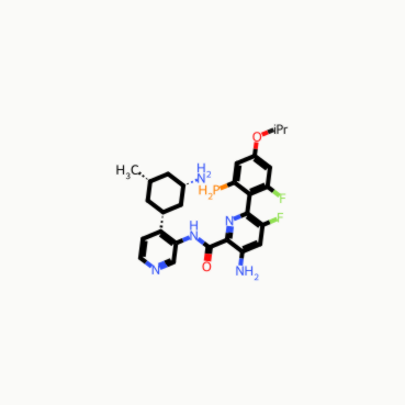 CC(C)Oc1cc(F)c(-c2nc(C(=O)Nc3cnccc3[C@@H]3C[C@H](C)C[C@H](N)C3)c(N)cc2F)c(P)c1